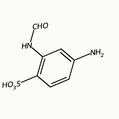 Nc1ccc(S(=O)(=O)O)c(NC=O)c1